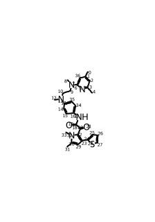 Cc1cc(C)nc(N(C)CCN(C)c2ccc(NC(=O)C(=O)c3c(-c4cccs4)cc(C)n3C)cc2)c1